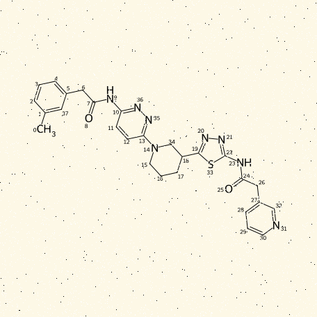 Cc1cccc(CC(=O)Nc2ccc(N3CCCC(c4nnc(NC(=O)Cc5cccnc5)s4)C3)nn2)c1